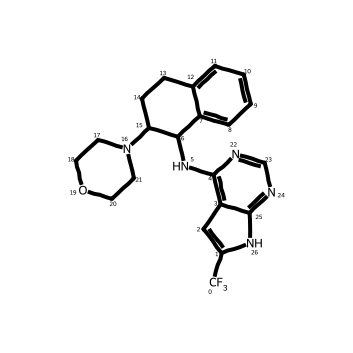 FC(F)(F)c1cc2c(NC3c4ccccc4CCC3N3CCOCC3)ncnc2[nH]1